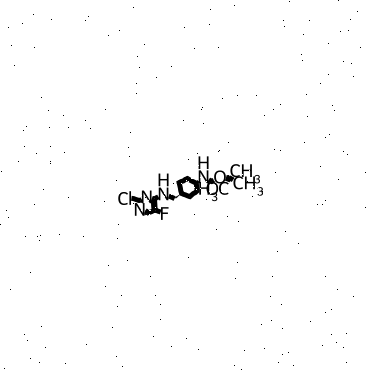 CC(C)(C)OC(=O)N[C@H]1CC[C@H](CNc2nc(Cl)ncc2F)CC1